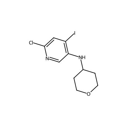 Clc1cc(I)c(NC2CCOCC2)cn1